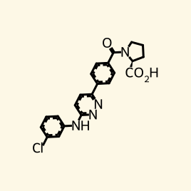 O=C(O)[C@@H]1CCCN1C(=O)c1ccc(-c2ccc(Nc3cccc(Cl)c3)nn2)cc1